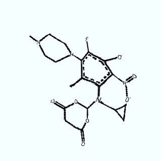 Cc1c(N2CCN(C)CC2)c(F)c(Cl)c([N+](=O)[O-])c1N(C1CC1)C1OC(=O)CC(=O)O1